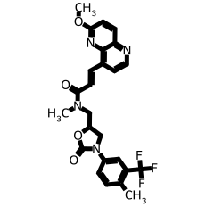 COc1ccc2nccc(C=CC(=O)N(C)CC3CN(c4ccc(C)c(C(F)(F)F)c4)C(=O)O3)c2n1